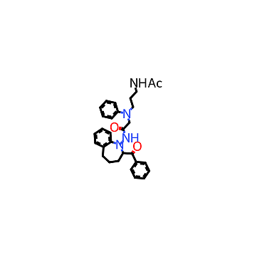 CC(=O)NCCCN(CC(=O)NN1c2ccccc2CCCC1C(=O)c1ccccc1)c1ccccc1